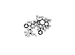 CC(=O)O[C@@]12CO[C@@H]1C[C@H](O)[C@@]1(C)C(=O)C(O)C3=C(C)[C@@H](OC(=O)[C@H](O)[C@@H](NC(=O)OC(C)(C)C)c4ccccc4)C[C@@](O)([C@@H](OC(=O)c4ccccc4)C12)C3(C)C